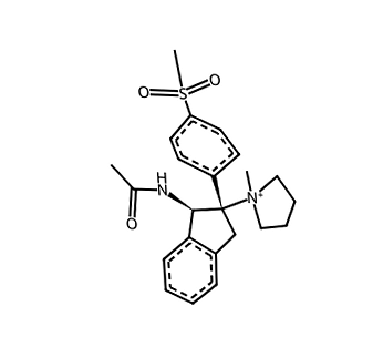 CC(=O)N[C@@H]1c2ccccc2C[C@@]1(c1ccc(S(C)(=O)=O)cc1)[N+]1(C)CCCC1